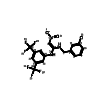 O=[N+]([O-])/C=C(\NCc1cccc(Cl)c1)Nc1cc(C(F)(F)F)cc(C(F)(F)F)c1